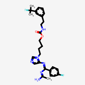 C/C(N)=N\C(=N/c1cncn1CCCCOC(=O)NCCc1cccc(C(C)(C)F)c1)c1ccc(F)cc1